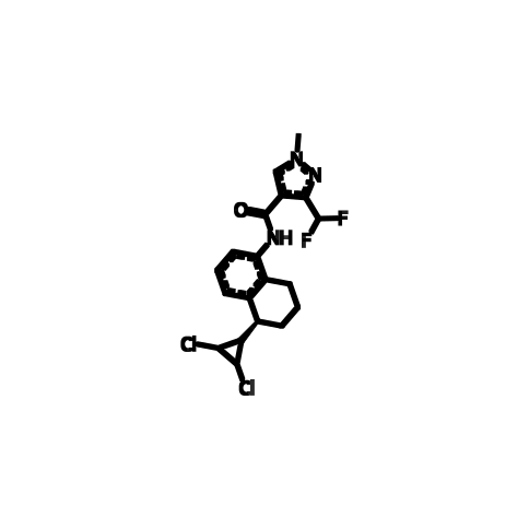 Cn1cc(C(=O)Nc2cccc3c2CCC[C@H]3C2C(Cl)C2Cl)c(C(F)F)n1